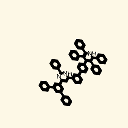 C1=C(c2cc(-c3ccccc3)cc(-c3ccccc3)c2)N=C(c2ccccc2)NC1c1cccc(-c2ccc(C3=C(c4ccccc4)C(c4ccccc4)NC(c4ccccc4)=C3c3ccccc3)cc2)c1